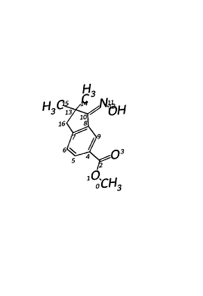 COC(=O)c1ccc2c(c1)C(=NO)C(C)(C)C2